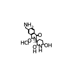 C[C@]1(N2C(=O)c3ccc(CN)cc3C2=O)CCC(O)NC1O.Cl